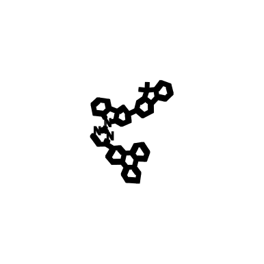 CC1(C)c2ccccc2-c2ccc(-c3ccc4c(c3)c3ccccc3n4-c3nccc(-c4ccc5c6ccccc6c6ccccc6c5c4)n3)cc21